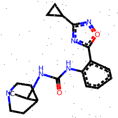 O=C(Nc1ccccc1-c1nc(C2CC2)no1)NC1CN2CCC1CC2